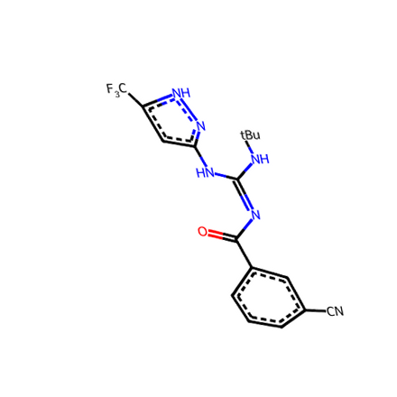 CC(C)(C)N/C(=N/C(=O)c1cccc(C#N)c1)Nc1cc(C(F)(F)F)[nH]n1